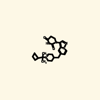 CC(C)(C1CCC1)N1CCC(Cc2ccn3ncc(N4CCC(=O)NC4=O)c3c2)CC1